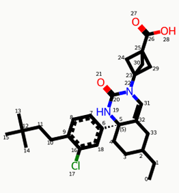 CCC1CC[C@@]2(c3ccc(CCC(C)(C)C)c(Cl)c3)NC(=O)N(C34CC(C(=O)O)(C3)C4)C=C2C1